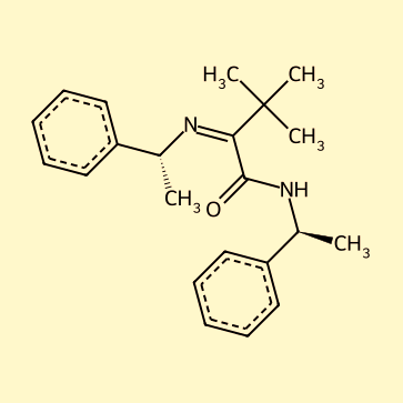 C[C@H](NC(=O)C(=N[C@H](C)c1ccccc1)C(C)(C)C)c1ccccc1